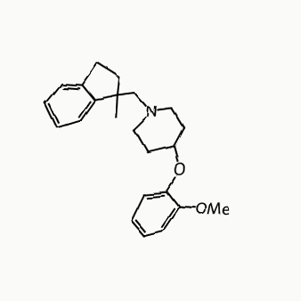 COc1ccccc1OC1CCN(CC2(C)CCc3ccccc32)CC1